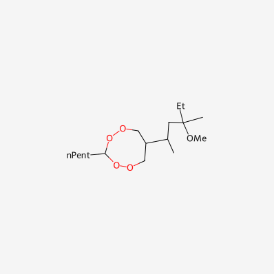 CCCCCC1OOCC(C(C)CC(C)(CC)OC)COO1